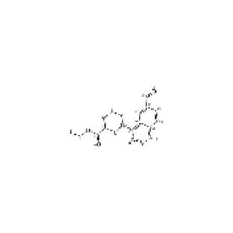 CCOC(=O)C1CCCN(c2ncnc3ccc(C=O)cc23)C1